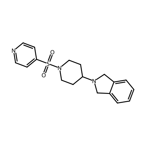 O=S(=O)(c1ccncc1)N1CCC(N2Cc3ccccc3C2)CC1